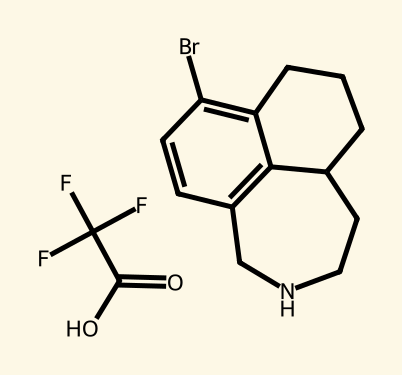 Brc1ccc2c3c1CCCC3CCNC2.O=C(O)C(F)(F)F